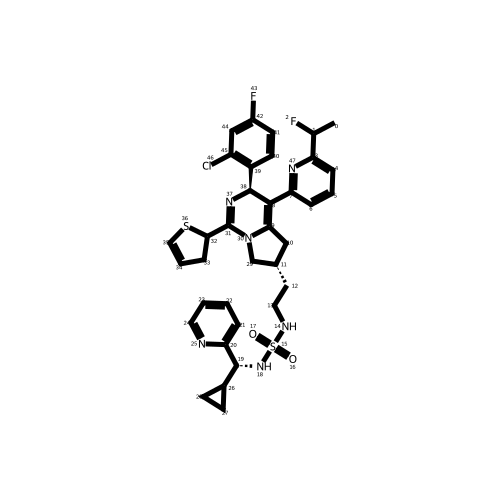 CC(F)c1cccc(C2=C3C[C@H](CCNS(=O)(=O)N[C@@H](c4ccccn4)C4CC4)CN3C(C3CC=CS3)=N[C@H]2c2ccc(F)cc2Cl)n1